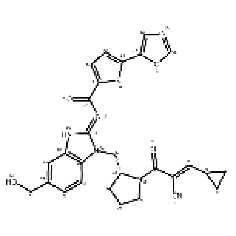 N#C/C(=C\C1CC1)C(=O)N1CCC[C@@H]1Cn1/c(=N/C(=O)c2ccc(-c3cnco3)s2)[nH]c2cc(CO)ccc21